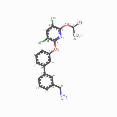 CC[C@H](Oc1nc(Oc2cccc(-c3cccc(CN)c3)c2)c(F)cc1F)C(=O)O